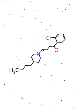 CCCCC1CCN(CCCC(=O)c2ccccc2Cl)CC1